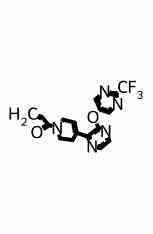 C=CC(=O)N1CC=C(c2nccnc2Oc2cnc(C(F)(F)F)nc2)CC1